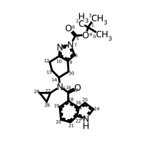 CC(C)(C)OC(=O)n1cc2c(n1)CCC(N(C(=O)c1cccc3[nH]ccc13)C1CC1)C2